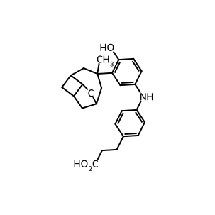 CC1(c2cc(Nc3ccc(CCC(=O)O)cc3)ccc2O)CC2CC3CC(C1)C3C2